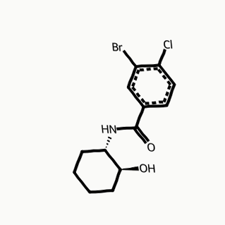 O=C(N[C@H]1CCCC[C@@H]1O)c1ccc(Cl)c(Br)c1